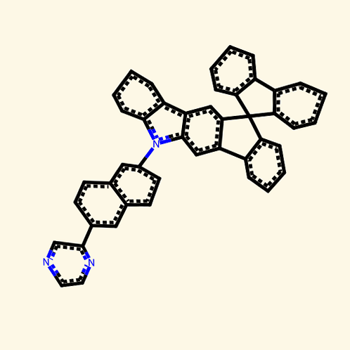 c1ccc2c(c1)-c1ccccc1C21c2ccccc2-c2cc3c(cc21)c1ccccc1n3-c1ccc2cc(-c3cnccn3)ccc2c1